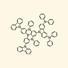 c1ccc(N(c2ccccc2)c2ccc3c(c2)c2cc(N(c4ccccc4)c4ccccc4)ccc2n3-c2cc3c4c(c2)N(c2ccccc2)c2cc(-n5c6ccccc6c6ccccc65)ccc2B4c2ccc(-n4c5ccccc5c5ccccc54)cc2N3c2ccccc2)cc1